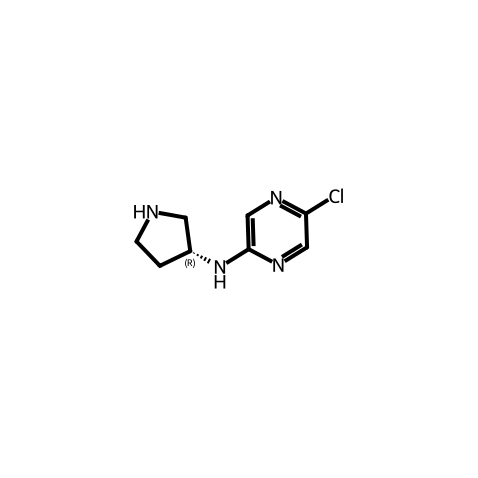 Clc1cnc(N[C@@H]2CCNC2)cn1